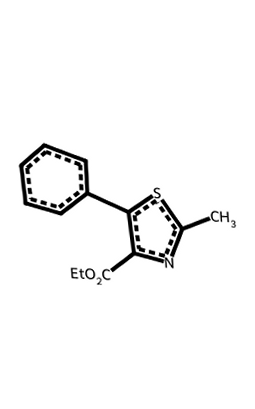 CCOC(=O)c1nc(C)sc1-c1ccccc1